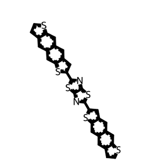 c1cc2cc3cc4sc(-c5nc6sc(-c7cc8cc9cc%10sccc%10cc9cc8s7)nc6s5)cc4cc3cc2s1